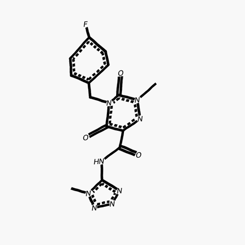 Cn1nnnc1NC(=O)c1nn(C)c(=O)n(Cc2ccc(F)cc2)c1=O